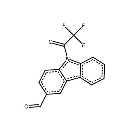 O=Cc1ccc2c(c1)c1ccccc1n2C(=O)C(F)(F)F